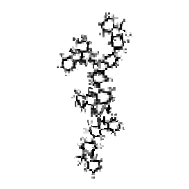 CC1(C)c2ccccc2-c2cc(-c3ccc4c(c3)c3ccccc3n4-c3nc4c5c(c(-c6ccc7c(c6)c6ccc(-c8ccc9c(c8)-c8ccccc8C9(C)C)cc6n7-c6nc7c8c(cccc8n6)Sc6ccccc6-7)ccc5n3)Sc3ccccc3-4)ccc21